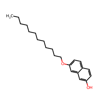 CCCCCCCCCCCCOc1ccc2ccc(O)cc2c1